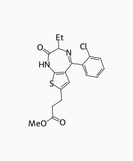 CCC1N=C(c2ccccc2Cl)c2cc(CCC(=O)OC)sc2NC1=O